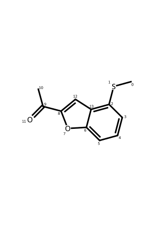 CSc1cccc2oc(C(C)=O)cc12